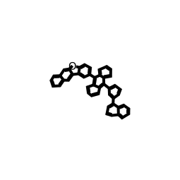 c1cc(-c2cccc3ccccc23)cc(-c2c3ccccc3c(-c3ccc4oc5cc6ccccc6cc5c4c3)c3ccccc23)c1